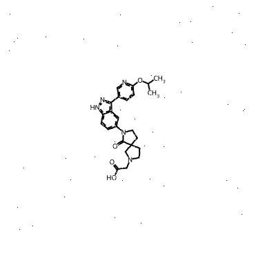 CC(C)Oc1ccc(-c2n[nH]c3ccc(N4CCC5(CCN(CC(=O)O)C5)C4=O)cc23)cn1